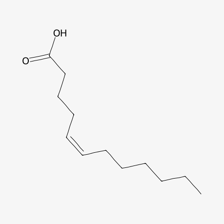 CCCCCC/C=C\CCCC(=O)O